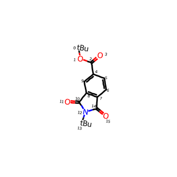 CC(C)(C)OC(=O)c1ccc2c(c1)C(=O)N(C(C)(C)C)C2=O